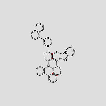 c1ccc(-c2ccccc2N(c2ccc(-c3cccc(-c4cccc5ccccc45)c3)cc2)c2ccccc2-c2cccc3c2oc2ccccc23)cc1